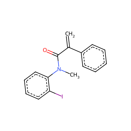 C=C(C(=O)N(C)c1ccccc1I)c1ccccc1